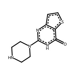 O=c1[nH]c(N2CCNCC2)nc2ccsc12